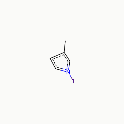 Cc1c[c]n(I)c1